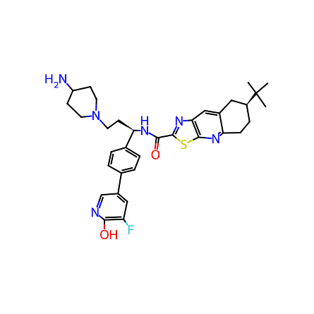 CC(C)(C)[C@H]1CCc2nc3sc(C(=O)N[C@H](CCN4CCC(N)CC4)c4ccc(-c5cnc(O)c(F)c5)cc4)nc3cc2C1